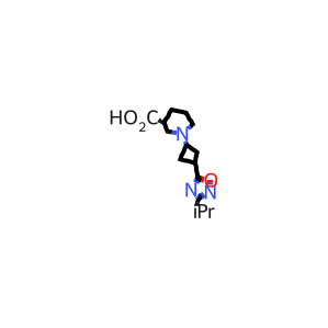 CC(C)c1noc(C2CC(N3CCCC(C(=O)O)C3)C2)n1